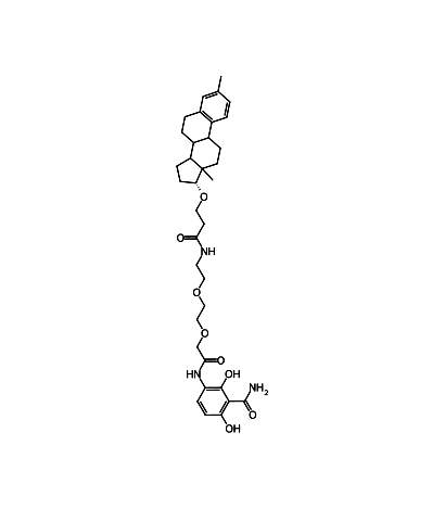 Cc1ccc2c(c1)CCC1C2CCC2(C)C1CC[C@H]2OCCC(=O)NCCOCCOCC(=O)Nc1ccc(O)c(C(N)=O)c1O